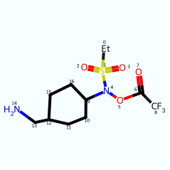 CCS(=O)(=O)N(OC(=O)C(F)(F)F)C1CCC(CN)CC1